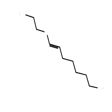 CCCCCCC=COCCC